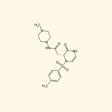 Cc1ccc(S(=O)(=O)N2C=CNC(=O)[C@H]2CC(=O)NN2CCN(C)CC2)cc1